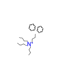 CCCC[N+](CCCC)(CCCC)CCCC.c1ccccc1.c1ccccc1